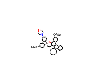 COc1ccc(C2(c3ccc(N4CCOCC4)cc3)C=Cc3c4c(c5ccc(OC)cc5c3O2)-c2ccccc2C42CCCCCCC2)cc1